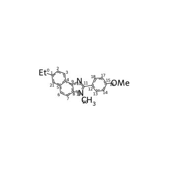 CCc1ccc2c(ccc3c2nc(-c2ccc(OC)cc2)n3C)c1